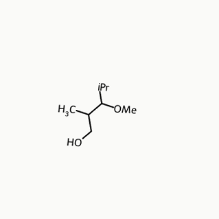 COC(C(C)C)C(C)CO